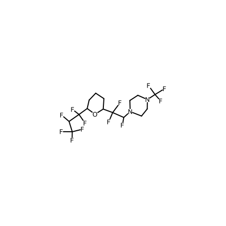 FC(N1CCN(C(F)(F)F)CC1)C(F)(F)C1CCCC(C(F)(F)C(F)C(F)(F)F)O1